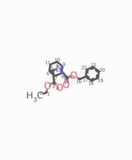 CCOC(=O)C1C2CCC(CC2)N1C(=O)OCc1ccccc1